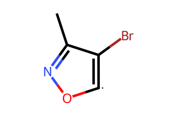 Cc1no[c]c1Br